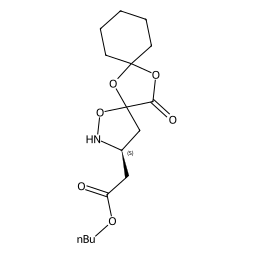 CCCCOC(=O)C[C@@H]1CC2(ON1)OC1(CCCCC1)OC2=O